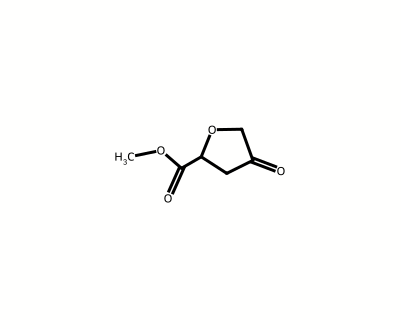 COC(=O)C1CC(=O)CO1